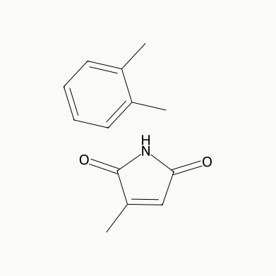 CC1=CC(=O)NC1=O.Cc1ccccc1C